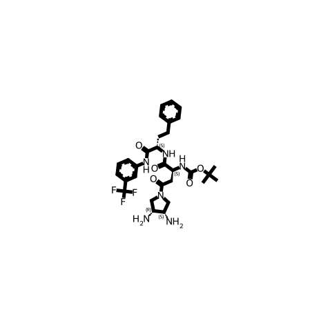 CC(C)(C)OC(=O)N[C@@H](CC(=O)N1C[C@@H](N)[C@@H](N)C1)C(=O)N[C@@H](CCc1ccccc1)C(=O)Nc1cccc(C(F)(F)F)c1